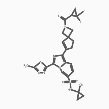 N#CC1(NS(=O)(=O)c2ccc3c(C4=CC5(CC4)CN(C(=O)C4CC4(F)F)C5)nc(-c4nnc(C(F)(F)F)s4)n3c2)CC1